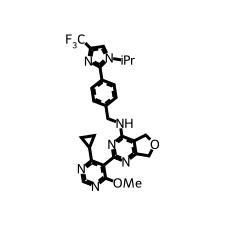 COc1ncnc(C2CC2)c1-c1nc2c(c(NCc3ccc(-c4nc(C(F)(F)F)cn4C(C)C)cc3)n1)COC2